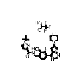 CC(C)(C)n1ccc(C(=O)NCc2ccc(-c3ncnn4cc(N5CCOCC5)cc34)c(F)c2Cl)n1.O=C(O)C(F)(F)F